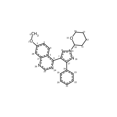 COc1[c]cc2c(-c3cn(C4CCCCO4)nc3-c3ccccc3)ncnc2c1